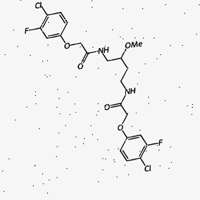 COC(CCNC(=O)COc1ccc(Cl)c(F)c1)CNC(=O)COc1ccc(Cl)c(F)c1